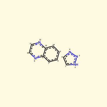 c1c[nH]nn1.c1ccc2nccnc2c1